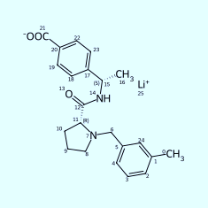 Cc1cccc(CN2CCC[C@@H]2C(=O)N[C@@H](C)c2ccc(C(=O)[O-])cc2)c1.[Li+]